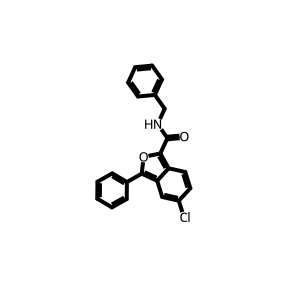 O=C(NCc1ccccc1)c1oc(-c2ccccc2)c2cc(Cl)ccc12